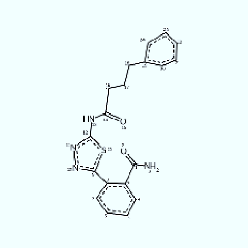 NC(=O)c1ccccc1-c1nnc(NC(=O)[CH]CCc2ccccc2)s1